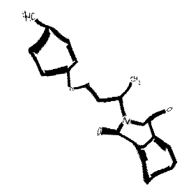 [CH]c1ccc(OCCC(C)N2C(=O)c3ccccc3C2=O)cc1